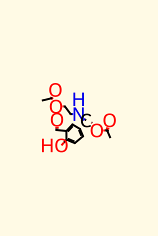 CC(=O)OCCNCCOC(C)=O.O=Cc1ccccc1O